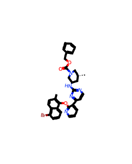 Cc1ccc2c(Br)cccc2c1Oc1ncccc1-c1ccnc(N[C@H]2C[C@@H](C)CN(C(=O)OCc3ccccc3)C2)n1